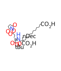 CCCCCCCCCCCC(CCCCCCCCCCC(=O)O)(C(=O)O)C(=O)N[C@@H](CCC(=O)ON1C(=O)CCC1=O)C(=O)OC(C)(C)C